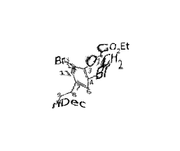 C=C(Oc1c(Br)cc(CCCCCCCCCCCC)cc1Br)C(=O)OCC